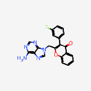 Nc1ncnc2c1ncn2Cc1oc2ccccc2c(=O)c1-c1cccc(F)c1